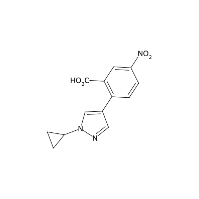 O=C(O)c1cc([N+](=O)[O-])ccc1-c1cnn(C2CC2)c1